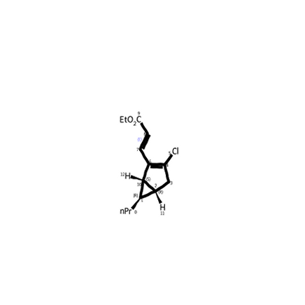 CCC[C@@H]1[C@H]2CC(Cl)=C(/C=C/C(=O)OCC)[C@@H]12